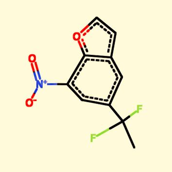 CC(F)(F)c1cc([N+](=O)[O-])c2occc2c1